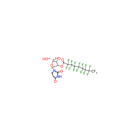 O=C(OC1C(O)[C@@H](CO)O[C@H]1n1ccc(=O)[nH]c1=O)C(F)(F)C(F)(F)C(F)(F)C(F)(F)C(F)(F)C(F)(F)C(F)(F)C(F)(F)F